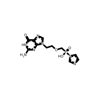 Nc1nc2c(ncn2CCOCP(=O)(O)n2ccnc2)c(=O)[nH]1